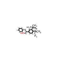 CC1(C)CCC(C)(C)c2cc([C@@H](CO)Cc3ccccc3)ccc21